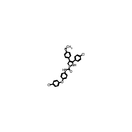 COc1ccc(C2=C(c3ccc(Cl)cc3)NN(C(=O)Nc3ccc(Oc4ccc(Cl)cc4)cc3)C2)cc1